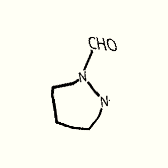 O=CN1CCC[N]1